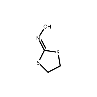 ON=C1SCCS1